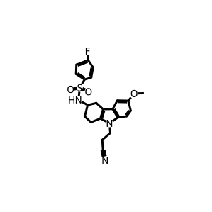 COc1ccc2c(c1)c1c(n2CCC#N)CCC(NS(=O)(=O)c2ccc(F)cc2)C1